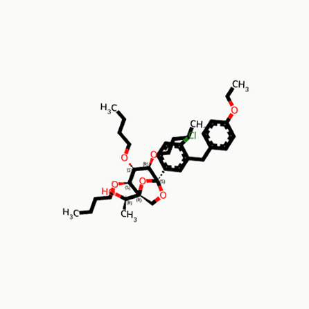 CCCCO[C@@H]1[C@@H](OCCCC)[C@@]2(c3ccc(Cl)c(Cc4ccc(OCC)cc4)c3)OC[C@]([C@@H](C)O)(O2)[C@H]1OCCCC